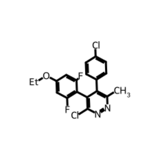 CCOc1cc(F)c(-c2c(Cl)nnc(C)c2-c2ccc(Cl)cc2)c(F)c1